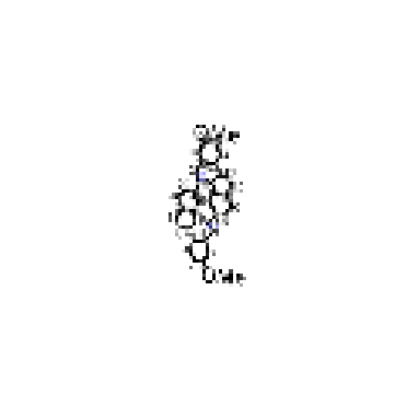 COc1cccc(/C=C/c2ccc3ccccc3c2-c2c(/C=C/c3cccc(OC)c3)ccc3ccccc23)c1